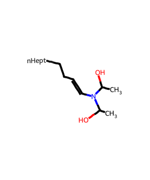 CCCCCCCCCC=CN(C(C)O)C(C)O